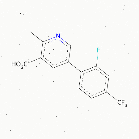 Cc1ncc(-c2ccc(C(F)(F)F)cc2F)cc1C(=O)O